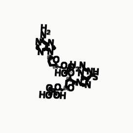 Nc1nc2c(ncn2[C@@H]2O[C@H](COP(=O)(O)O)C[C@H]2OP(=O)(O)OC[C@@H]2CC[C@H](n3cnc4c(N)ncnc43)O2)c(=S)[nH]1